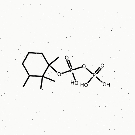 CC1CCCC(C)(OP(=O)(O)OP(=O)(O)O)C1(C)C